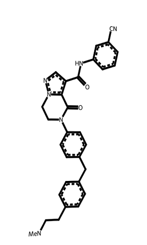 CNCCc1ccc(Cc2ccc(N3CCn4ncc(C(=O)Nc5cccc(C#N)c5)c4C3=O)cc2)cc1